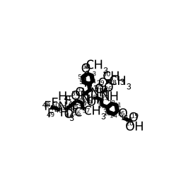 COc1ccc(C(NC(=O)C(Cc2ccc(OCC(=O)O)cc2)NC(=O)OC(C)(C)C)C(=O)NC(C(C)C)C(O)C(F)(F)C(=O)NCC(F)(F)F)cc1